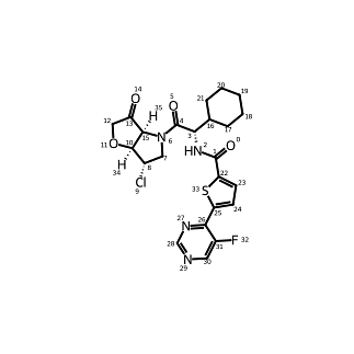 O=C(N[C@H](C(=O)N1C[C@H](Cl)[C@H]2OCC(=O)[C@H]21)C1CCCCC1)c1ccc(-c2ncncc2F)s1